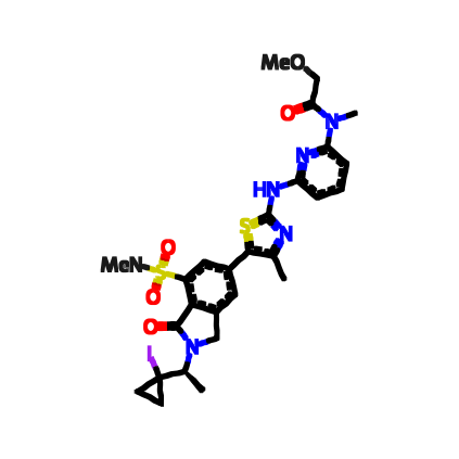 CNS(=O)(=O)c1cc(-c2sc(Nc3cccc(N(C)C(=O)COC)n3)nc2C)cc2c1C(=O)N([C@@H](C)C1(I)CC1)C2